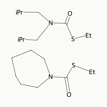 CCSC(=O)N(CC(C)C)CC(C)C.CCSC(=O)N1CCCCCC1